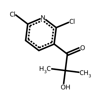 CC(C)(O)C(=O)c1ccc(Cl)nc1Cl